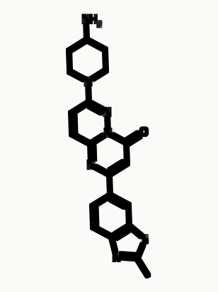 Cc1nc2ccc(-c3cc(=O)n4nc(N5CCC(N)CC5)ccc4n3)cc2s1